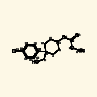 CC(C)(C)OC(=O)ON1CCC(CO)(c2ccc(Cl)cc2)CC1